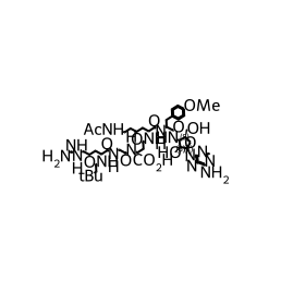 COc1ccc(CC(NC(=O)C(CCCCNC(C)=O)NC(=O)CC(NC(=O)CNC(=O)C(CCCNC(=N)N)NC(=O)CC(C)(C)C)C(=O)O)C(=O)NC2[C@@H](CO)O[C@@H](n3cnc4c(N)ncnc43)[C@H]2O)cc1